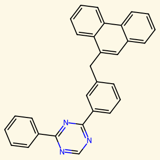 c1ccc(-c2ncnc(-c3cccc(Cc4cc5ccccc5c5ccccc45)c3)n2)cc1